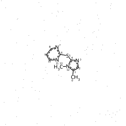 Cc1cnc(Sc2ncccn2)n1C